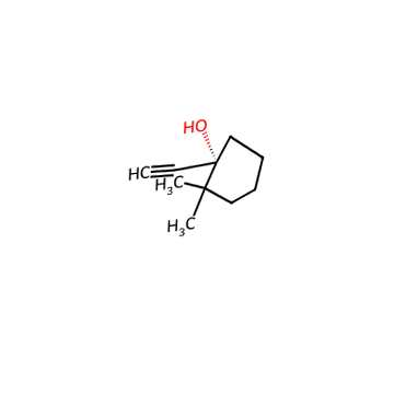 C#C[C@@]1(O)CCCCC1(C)C